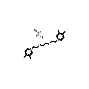 Cc1cc[n+](CCOCCOCC[n+]2ccc(C)c(C)c2)cc1C.I.I.I.I